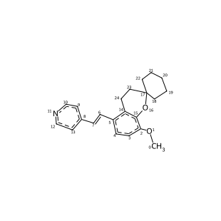 COc1ccc(C=Cc2ccncc2)c2c1OC1(CCCCC1)CC2